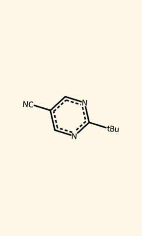 CC(C)(C)c1ncc(C#N)cn1